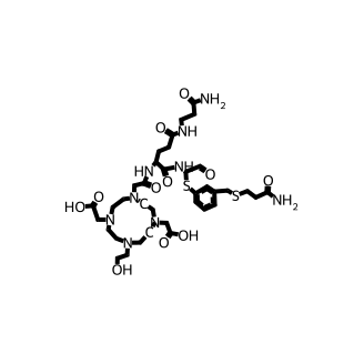 NC(=O)CCNC(=O)CCC(NC(=O)CN1CCN(CC(=O)O)CCN(CCO)CCN(CC(=O)O)CC1)C(=O)NC(C=O)Sc1cccc(CSCCC(N)=O)c1